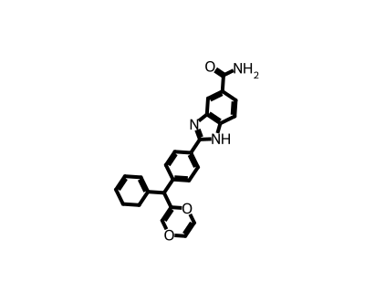 NC(=O)c1ccc2[nH]c(-c3ccc(C(C4=CC=CCC4)C4=COC=CO4)cc3)nc2c1